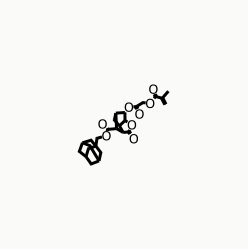 C=C(C)C(=O)OCC(=O)OC1C2CC3C1OC(=O)C3C2C(=O)OCC12CC3CC(CC(C3)C1)C2